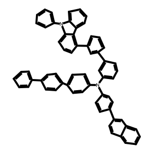 c1ccc(-c2ccc(-c3ccc(N(c4ccc(-c5ccc6ccccc6c5)cc4)c4cccc(-c5cccc(-c6cccc7c6c6ccccc6n7-c6ccccc6)c5)c4)cc3)cc2)cc1